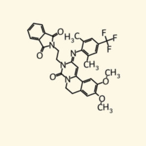 COc1cc2c(cc1OC)-c1c/c(=N\c3c(C)cc(C(F)(F)F)cc3C)n(CCN3C(=O)c4ccccc4C3=O)c(=O)n1CC2